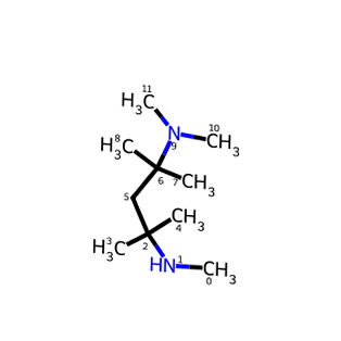 CNC(C)(C)CC(C)(C)N(C)C